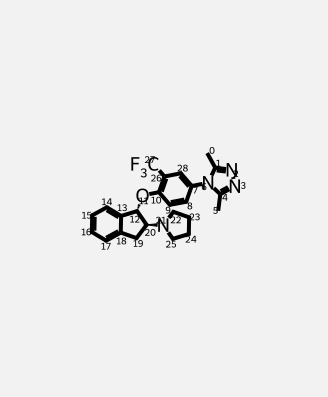 Cc1nnc(C)n1-c1ccc(O[C@H]2c3ccccc3C[C@@H]2N2CCCC2)c(C(F)(F)F)c1